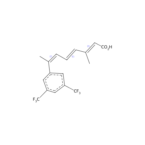 C/C(=C/C=C/C(C)=C/C(=O)O)c1cc(C(F)(F)F)cc(C(F)(F)F)c1